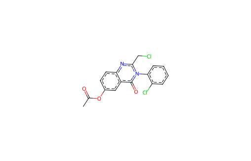 CC(=O)Oc1ccc2nc(CCl)n(-c3ccccc3Cl)c(=O)c2c1